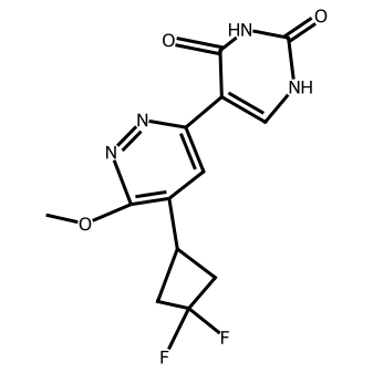 COc1nnc(-c2c[nH]c(=O)[nH]c2=O)cc1C1CC(F)(F)C1